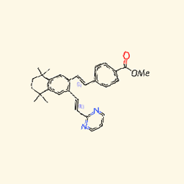 COC(=O)c1ccc(/C=C/c2cc3c(cc2/C=C/c2ncccn2)C(C)(C)CCC3(C)C)cc1